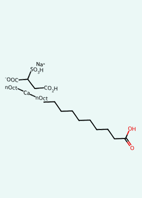 CCCCCCCCCC(=O)O.CCCCCCC[CH2][Ca][CH2]CCCCCCC.O=C(O)CC(C(=O)[O-])S(=O)(=O)O.[Na+]